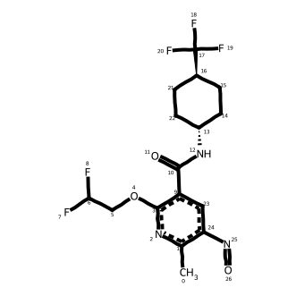 Cc1nc(OCC(F)F)c(C(=O)N[C@H]2CC[C@H](C(F)(F)F)CC2)cc1N=O